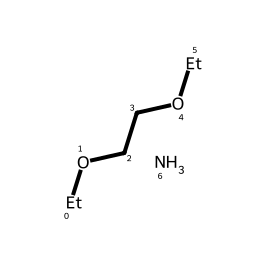 CCOCCOCC.N